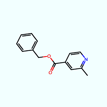 Cc1cc(C(=O)OCc2ccccc2)ccn1